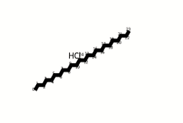 CCCCCCCCCCCCCCCCCCCCCCCC.Cl